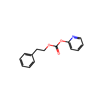 O=C(OCCc1ccccc1)Oc1ccccn1